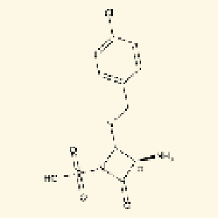 N[C@H]1C(=O)N(S(=O)(=O)O)C1SCc1ccc(Cl)cc1